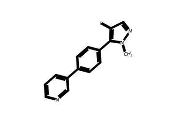 Cn1ncc(I)c1-c1ccc(-c2cccnc2)cc1